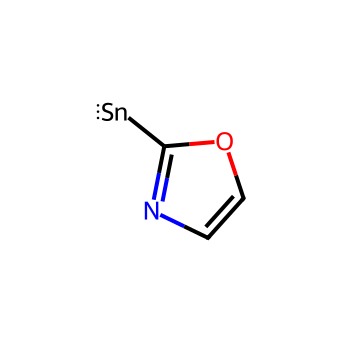 [Sn][c]1ncco1